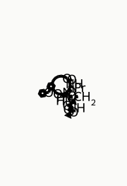 C=C[C@@H]1C[C@]1(NC(=O)[C@@H]1C[C@@H]2CN1C(=O)[C@H](C(C)C)NC(=O)OCCCCCc1ccc(Oc3ccccc3)c(c1)CO2)C(=O)NS(=O)(=O)C1CC1